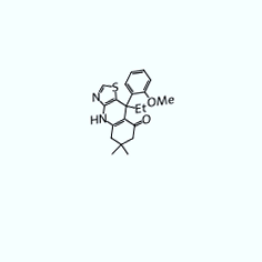 CCC1(c2ccccc2OC)C2=C(CC(C)(C)CC2=O)Nc2ncsc21